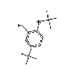 CC(C)(C)Nc1ccc(C(C)(C)C)cc1S